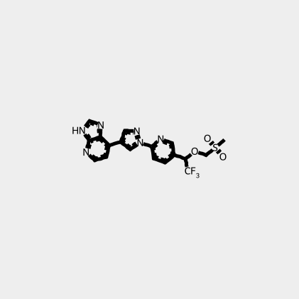 CS(=O)(=O)COC(c1ccc(-n2cc(-c3ccnc4[nH]cnc34)cn2)nc1)C(F)(F)F